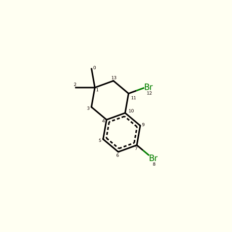 CC1(C)Cc2ccc(Br)cc2C(Br)C1